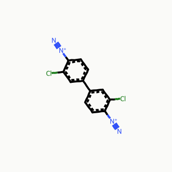 N#[N+]c1ccc(-c2ccc([N+]#N)c(Cl)c2)cc1Cl